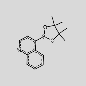 CC1(C)OB(c2ccnc3ccccc23)OC1(C)C